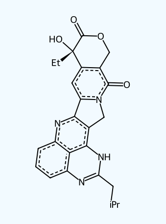 CC[C@@]1(O)C(=O)OCc2c1cc1n(c2=O)Cc2c-1nc1cccc3c1c2NC(CC(C)C)=N3